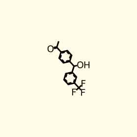 CC(=O)c1ccc(C(O)c2cccc(C(F)(F)F)c2)cc1